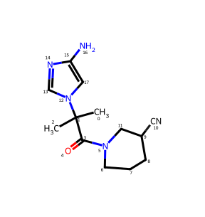 CC(C)(C(=O)N1CCCC(C#N)C1)n1cnc(N)c1